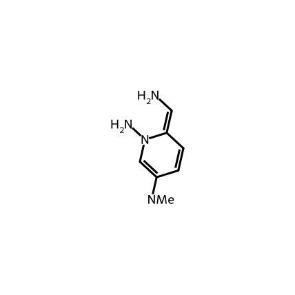 CNC1=CN(N)/C(=C\N)C=C1